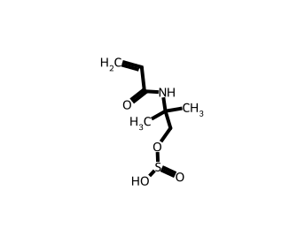 C=CC(=O)NC(C)(C)COS(=O)O